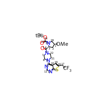 CO[C@H]1C[C@@H](C(=O)N2CCN(c3ncnc4sc(CC(F)(F)F)cc34)CC2)N(C(=O)OC(C)(C)C)C1